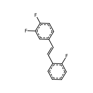 Fc1ccc(/C=C/c2ccccc2F)cc1F